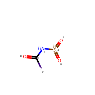 O=C(I)N[SH](=O)=O